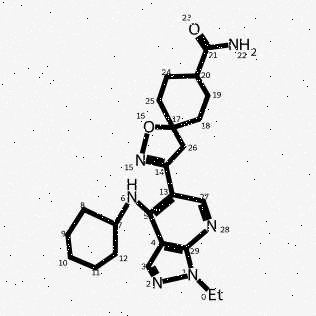 CCn1ncc2c(NC3CCCCC3)c(C3=NOC4(CCC(C(N)=O)CC4)C3)cnc21